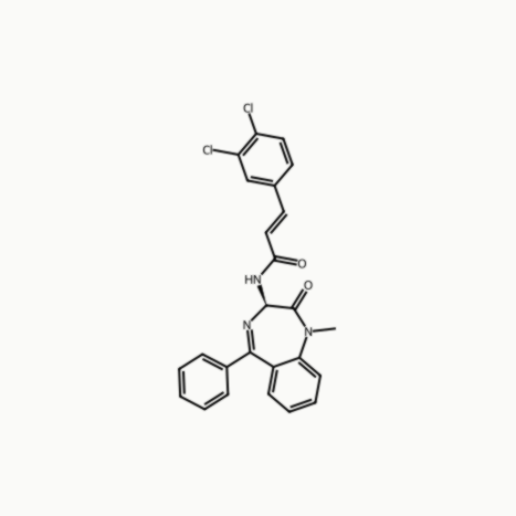 CN1C(=O)[C@H](NC(=O)C=Cc2ccc(Cl)c(Cl)c2)N=C(c2ccccc2)c2ccccc21